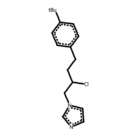 CC(C)(C)c1ccc(CCC(Cl)Cn2ccnc2)cc1